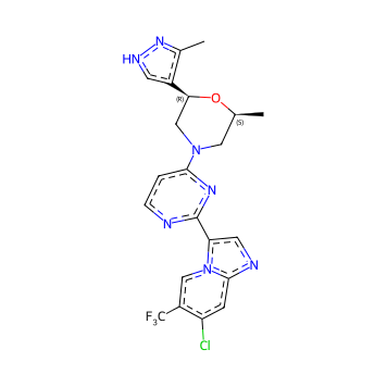 Cc1n[nH]cc1[C@@H]1CN(c2ccnc(-c3cnc4cc(Cl)c(C(F)(F)F)cn34)n2)C[C@H](C)O1